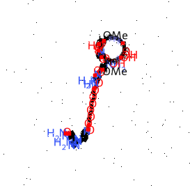 CO[C@H]1C[C@@H]2CC[C@@H](C)[C@@](O)(O2)C(=O)C(=O)N2CCCC[C@H]2C(=O)O[C@H]([C@H](N)C[C@@H]2CC[C@@H](OC(=O)N3CCC(N)(C(=O)NCCOCCOCCOCCOCCOCCOCCC(=O)N4CCc5cc(Cn6nc(-c7ccc8oc(N)nc8c7)c7c(N)ncnc76)ccc5C4)CC3)[C@H](OC)C2)C[C@@H](O)[C@H](C)/C=C(\C)[C@@H](O)[C@@H](O)C(=O)[C@H](C)C[C@H](C)/C=C/C=C/C=C/1C